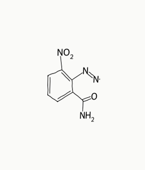 [N]=Nc1c(C(N)=O)cccc1[N+](=O)[O-]